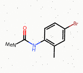 CNC(=O)Nc1ccc(Br)cc1C